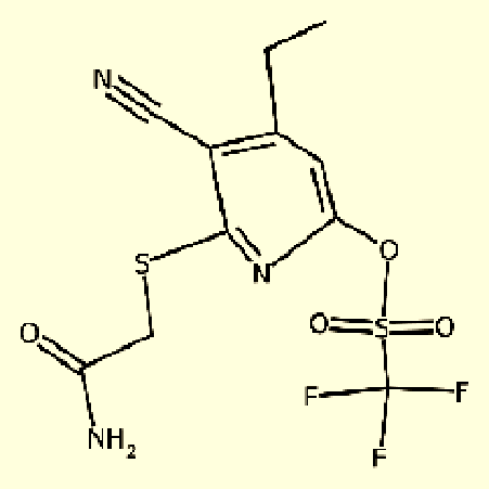 CCc1cc(OS(=O)(=O)C(F)(F)F)nc(SCC(N)=O)c1C#N